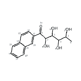 CC(O)C(O)C(O)C(O)C(=O)c1ccc2ccccc2c1